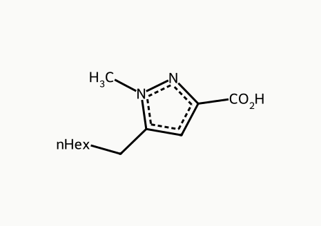 CCCCCCCc1cc(C(=O)O)nn1C